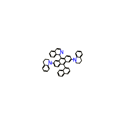 c1ccc2c(c1)CCCN2c1ccc2c(-c3nccc4ccccc34)c3cc(N4CCCc5ccccc54)ccc3c(-c3cccc4ccccc34)c2c1